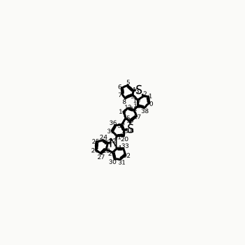 C1=CC2Sc3ccccc3C2C(C2=CCC3C(=C2)Sc2cc(-n4c5ccccc5c5ccccc54)ccc23)=C1